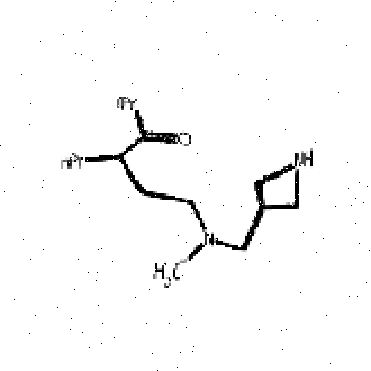 CCCC(CCN(C)CC1CNC1)C(=O)C(C)C